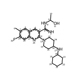 Cc1cc2cc(C(=N)NC(C)O)c(N3CCC(NC4CCCCC4)CC3)nc2cc1F